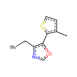 Cc1ccsc1-c1ocnc1CC(C)(C)C